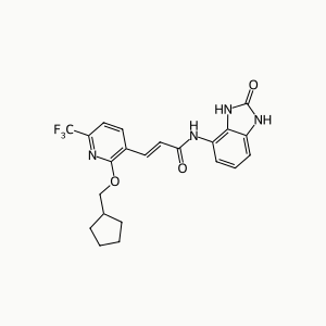 O=C(/C=C/c1ccc(C(F)(F)F)nc1OCC1CCCC1)Nc1cccc2[nH]c(=O)[nH]c12